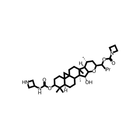 CC(C)C(OC(=O)N1CCC1)C1C[C@@H](C)[C@H]2C(O1)[C@H](O)[C@@]1(C)C3CC[C@H]4C(C)(C)C(OC(=O)NC5CNC5)CCC45CC35CCC21C